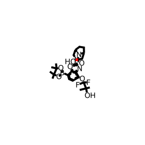 CC(C)(O)C(F)(F)Oc1ccc(B2OC(C)(C)C(C)(C)O2)c2oc(N3CC4CCC(C3)N4C(=O)O)nc12